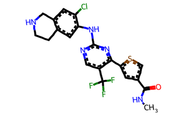 CNC(=O)c1csc(-c2nc(Nc3cc4c(cc3Cl)CNCC4)ncc2C(F)(F)F)c1